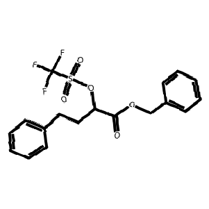 O=C(OCc1ccccc1)C(CCc1ccccc1)OS(=O)(=O)C(F)(F)F